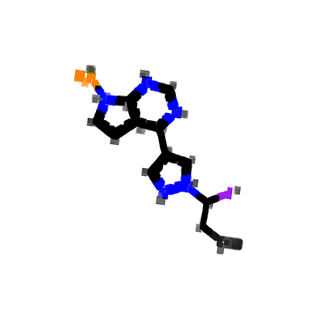 O=CCC(I)n1cc(-c2ncnc3c2ccn3P)cn1